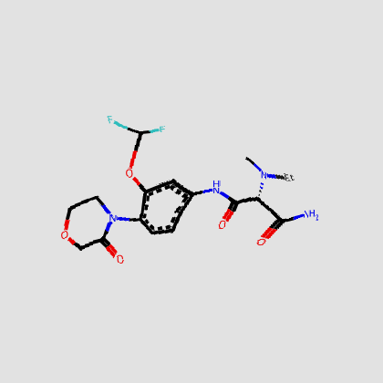 CCN(C)[C@H](C(N)=O)C(=O)Nc1ccc(N2CCOCC2=O)c(OC(F)F)c1